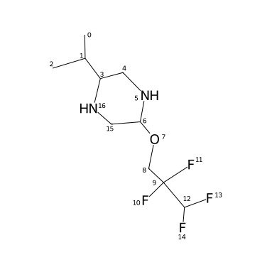 CC(C)C1CNC(OCC(F)(F)C(F)F)CN1